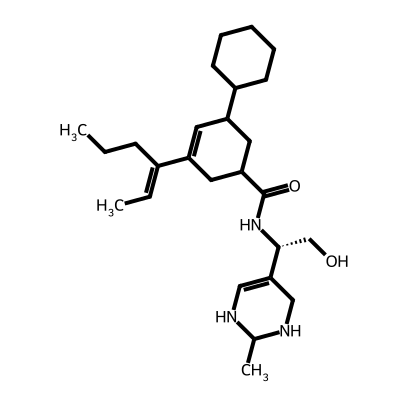 C/C=C(\CCC)C1=CC(C2CCCCC2)CC(C(=O)N[C@H](CO)C2=CNC(C)NC2)C1